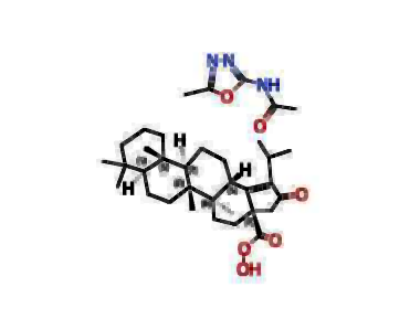 CC(=O)Nc1nnc(C)o1.CC(C)C1=C2[C@H]3CC[C@@H]4[C@@]5(C)CCCC(C)(C)[C@@H]5CC[C@@]4(C)[C@]3(C)CC[C@@]2(C(=O)OO)CC1=O